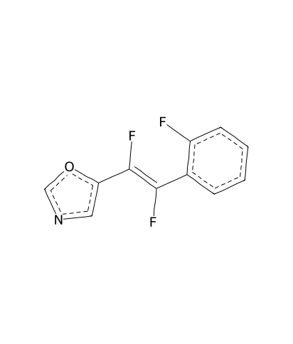 FC(=C(F)c1ccccc1F)c1cnco1